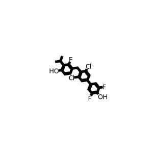 CC(C)c1c(O)ccc(Cc2c(Cl)cc(-c3cc(F)c(O)c(F)c3)cc2Cl)c1F